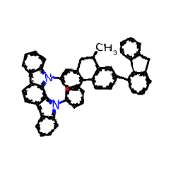 CC1Cc2cc(-n3c4ccccc4c4ccc5c6ccccc6n(-c6ccccc6)c5c43)ccc2-c2ccc(-c3cccc4c3-c3ccccc3C4)cc21